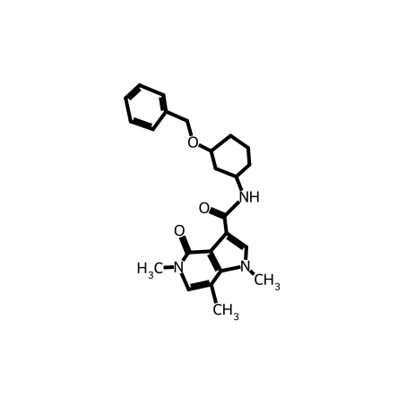 Cc1cn(C)c(=O)c2c(C(=O)NC3CCCC(OCc4ccccc4)C3)cn(C)c12